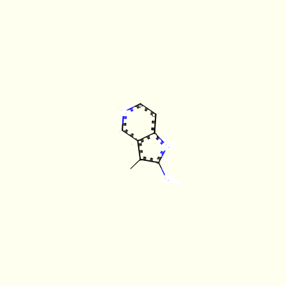 CCOC(=O)c1c(N)[nH]c2ccncc12